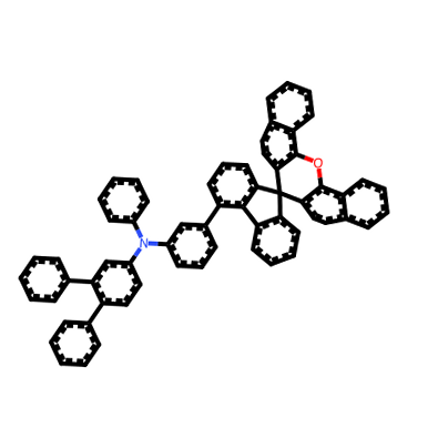 c1ccc(-c2ccc(N(c3ccccc3)c3cccc(-c4cccc5c4-c4ccccc4C54c5ccc6ccccc6c5Oc5c4ccc4ccccc54)c3)cc2-c2ccccc2)cc1